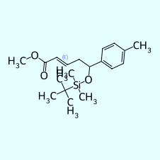 COC(=O)/C=C/CC(O[Si](C)(C)C(C)(C)C)c1ccc(C)cc1